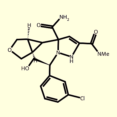 CNC(=O)C1=CC(C(N)=O)(C2[C@H]3COC[C@@H]23)N([C@H](CO)c2cccc(Cl)c2)N1